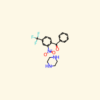 C1CNCCN1.O=C(c1ccccc1)c1ccc(C(F)(F)F)cc1[N+](=O)[O-]